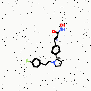 O=C(/C=C/c1ccc([C@@H]2CCCN2CCc2ccc(F)cc2)cc1)NO